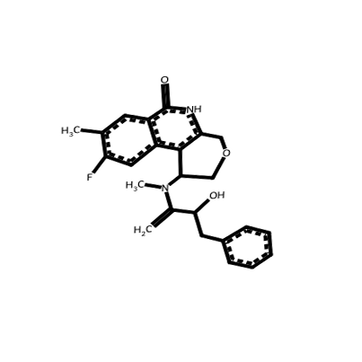 C=C(C(O)Cc1ccccc1)N(C)C1COCc2[nH]c(=O)c3cc(C)c(F)cc3c21